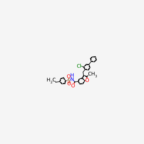 C=Cc1ccc(S(=O)(=O)NC(=O)c2ccc3oc(C)c(Cc4ccc(-c5ccccc5)cc4Cl)c3c2)cc1